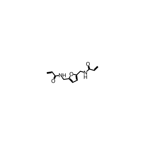 C=CC(=O)NCc1ccc(CNC(=O)C=C)o1